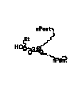 CC/C=C\CC1C(O)CCC1CC(=O)OCC(COCCCCCCCC/C=C\C/C=C\CCCCC)OCCCCCCCC/C=C\C/C=C\CCCCC